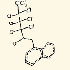 [O]C(Cc1cccc2ccccc12)C(Cl)(Cl)C(Cl)(Cl)C(Cl)(Cl)C(Cl)(Cl)Cl